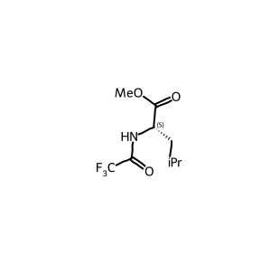 COC(=O)[C@H](CC(C)C)NC(=O)C(F)(F)F